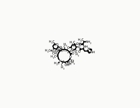 CC[C@H]1OC(=O)[C@H](C)[C@@H](OC2C[C@@](C)(OC)[C@@H](OC(=O)C(Cc3c[nH]cn3)NC(=O)C(C)N)[C@H](C)O2)[C@H](C)[C@@H](O[C@@H]2O[C@H](C)C[C@H](N(C)C)[C@H]2O)[C@](C)(O)C[C@@H](C)CN(C)[C@H](C)[C@@H](O)[C@]1(C)O